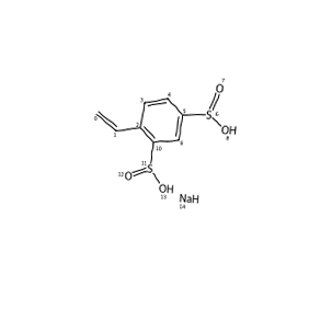 C=Cc1ccc(S(=O)O)cc1S(=O)O.[NaH]